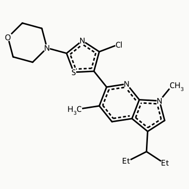 CCC(CC)c1cn(C)c2nc(-c3sc(N4CCOCC4)nc3Cl)c(C)cc12